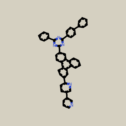 c1ccc(-c2ccc(-c3nc(-c4ccccc4)nc(-c4ccc5c6ccc(-c7ccc(-c8cccnc8)cn7)cc6c6ccccc6c5c4)n3)cc2)cc1